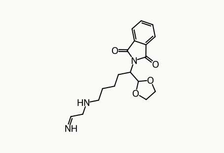 N=CCNCCCCC(C1OCCO1)N1C(=O)c2ccccc2C1=O